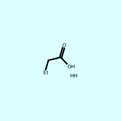 CCCC(=O)O.[HH]